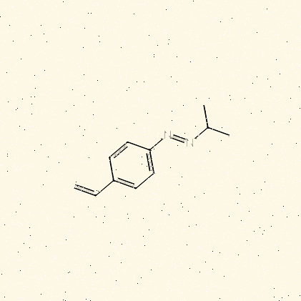 C=Cc1ccc(N=NC(C)C)cc1